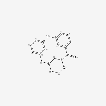 O=C(c1cccc(F)c1)[C@H]1CN(Cc2ccccc2)CCO1